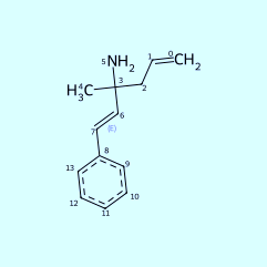 C=CCC(C)(N)/C=C/c1ccccc1